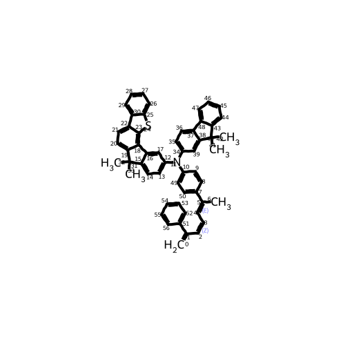 C=C(/C=C\C=C(/C)c1ccc(N(c2ccc3c(c2)-c2c(ccc4c2sc2ccccc24)C3(C)C)c2ccc3c(c2)C(C)(C)c2ccccc2-3)cc1)c1ccccc1